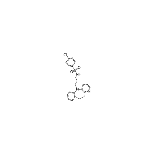 O=S(=O)(NCCCN1c2ccccc2CCc2ncccc21)c1ccc(Cl)cc1